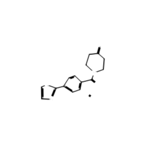 C=C.O=C1CCN(C(=O)c2ccc(-c3nccs3)cc2)CC1